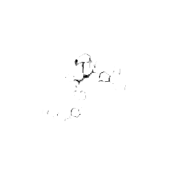 COc1ccc(CN2CCN(C(=O)c3cc(-c4ccc(C)c(OC)c4)nc4ccccc34)CC2)cc1